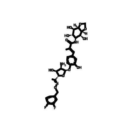 CC(=Cc1ccc(O[C@@H]2O[C@H](C(C)=NOCc3ccc(F)c(F)c3)[C@@H](O)[C@H]2N)c(O)c1)C(=O)N[C@@H]1[C@H](O)[C@@H](O)[C@H]2OCO[C@H]2[C@@H]1O